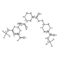 CC(=O)NCC(CC(=O)OC(C)(C)C)NC(=O)[C@@H]1CCCN(C(=O)CCC2CCN(C(=O)OC(C)(C)C)CC2)C1